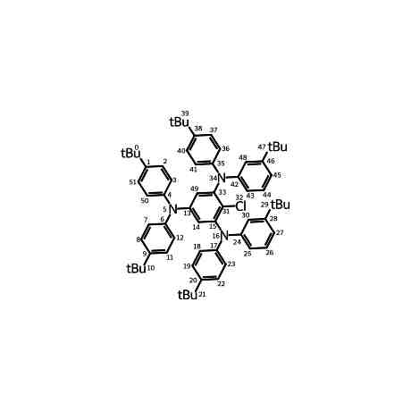 CC(C)(C)c1ccc(N(c2ccc(C(C)(C)C)cc2)c2cc(N(c3ccc(C(C)(C)C)cc3)c3cccc(C(C)(C)C)c3)c(Cl)c(N(c3ccc(C(C)(C)C)cc3)c3cccc(C(C)(C)C)c3)c2)cc1